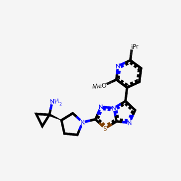 COc1nc(C(C)C)ccc1-c1cnc2sc(N3CC[C@@H](C4(N)CC4)C3)nn12